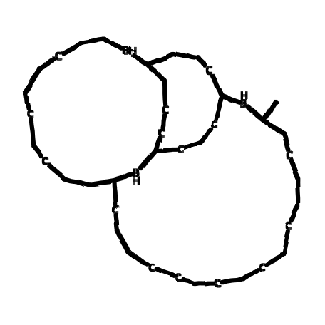 CC1BC2CCCC3BCCCCCCCCCCC(BC(CCC3)CCC2)CCCCCCCCCCCCCCC1